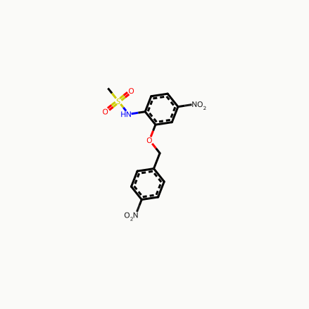 CS(=O)(=O)Nc1ccc([N+](=O)[O-])cc1OCc1ccc([N+](=O)[O-])cc1